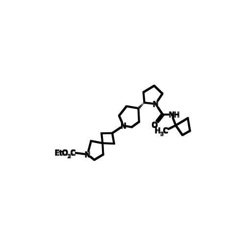 CCOC(=O)N1CCC2(CC(N3CCC([C@@H]4CCCN4C(=O)NC4(C)CCC4)CC3)C2)C1